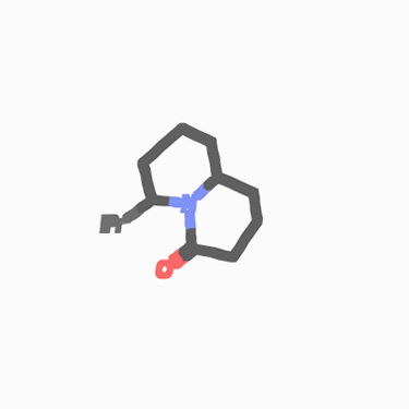 CC(C)C1CCCC2CCCC(=O)N21